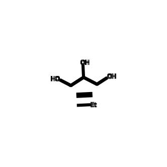 C=C.CCC.OCC(O)CO